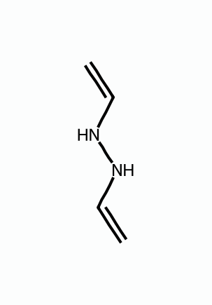 C=CNNC=C